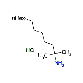 CCCCCCCCCCCC(C)(C)N.Cl